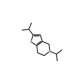 CC(C)c1cc2c(s1)CCN(C(C)C)C2